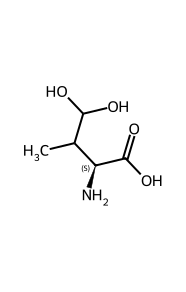 CC(C(O)O)[C@H](N)C(=O)O